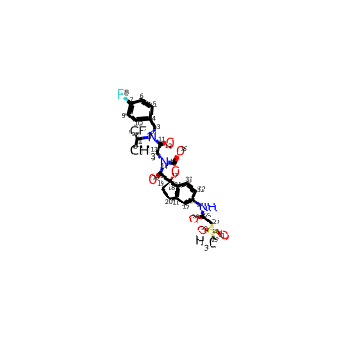 C[C@H](N(Cc1ccc(F)cc1)C(=O)CN1C(=O)O[C@@]2(CCc3cc(NC(=O)CS(C)(=O)=O)ccc32)C1=O)C(F)(F)F